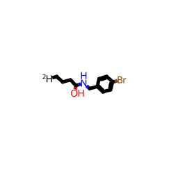 [2H]CCCC(O)NCc1ccc(Br)cc1